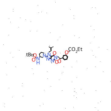 CCOC(=O)COc1cccc(C(=O)Cn2c(=O)c3c(nc(N4CCCC(NC(=O)OC(C)(C)C)C4)n3CC=C(C)C)n(C)c2=O)c1